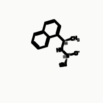 C[C@H](N[S@+]([O-])C(C)(C)C)c1cccc2ccccc12